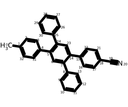 Cc1ccc(-c2cc(-c3ccccc3)c(-c3ccc(C#N)cc3)cc2-c2ccccc2)cc1